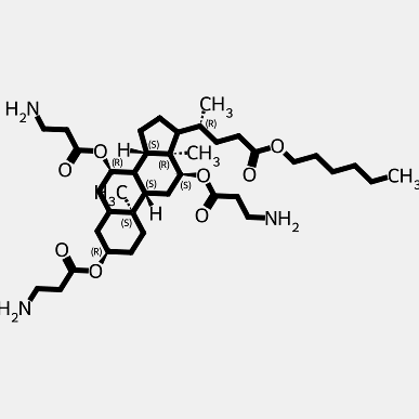 CCCCCCOC(=O)CC[C@@H](C)C1CC[C@H]2C3[C@H](OC(=O)CCN)CC4C[C@H](OC(=O)CCN)CC[C@]4(C)[C@H]3C[C@H](OC(=O)CCN)[C@]12C